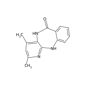 Cc1cc(C)c2c(n1)Nc1ccccc1C(=O)N2